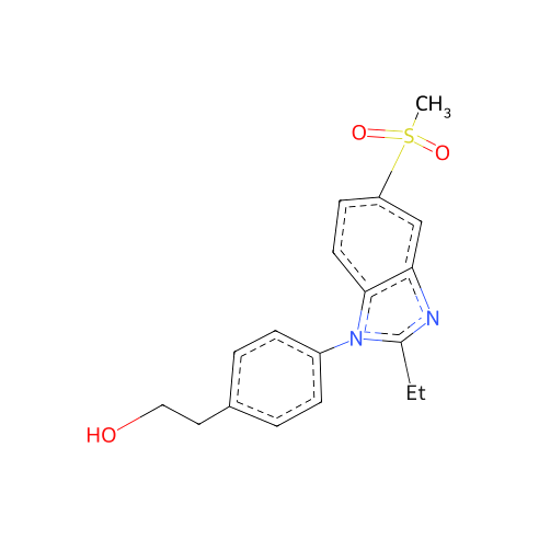 CCc1nc2cc(S(C)(=O)=O)ccc2n1-c1ccc(CCO)cc1